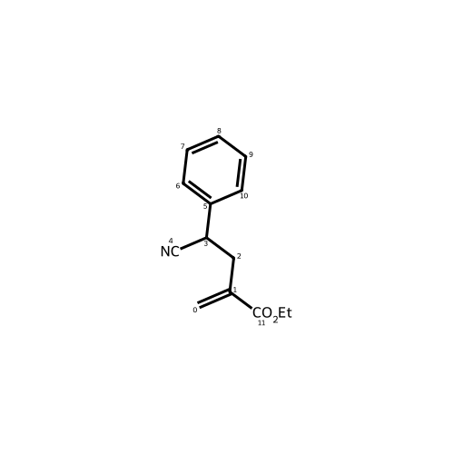 C=C(CC(C#N)c1ccccc1)C(=O)OCC